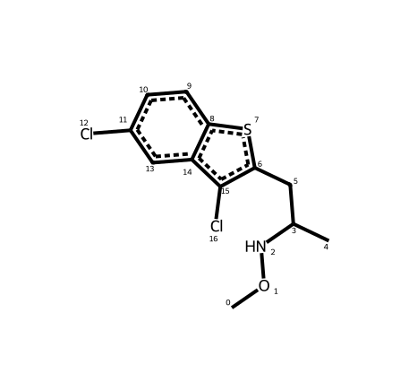 CONC(C)Cc1sc2ccc(Cl)cc2c1Cl